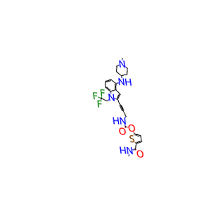 CNC(=O)c1ccc(OC(=O)NCC#Cc2cc3c(NC4CCN(C)CC4)cccc3n2CC(F)(F)F)s1